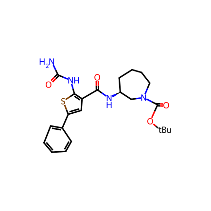 CC(C)(C)OC(=O)N1CCCC[C@H](NC(=O)c2cc(-c3ccccc3)sc2NC(N)=O)C1